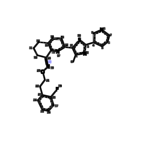 Cc1nc(-c2cccnc2)sc1-c1ccc2c(n1)/C(=N/OCCc1ccccc1F)CCC2